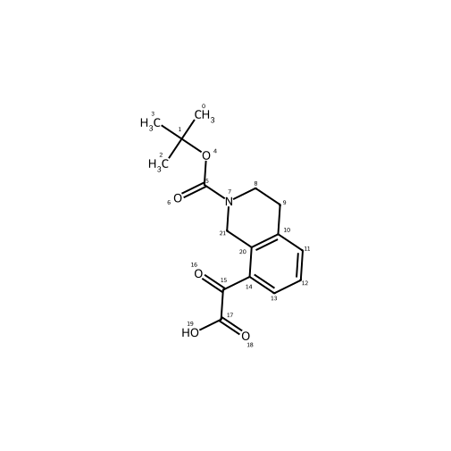 CC(C)(C)OC(=O)N1CCc2cccc(C(=O)C(=O)O)c2C1